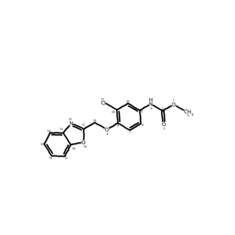 COC(=O)Nc1ccc(OCc2nc3ccccc3o2)c(Cl)c1